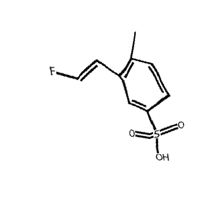 Cc1ccc(S(=O)(=O)O)cc1C=CF